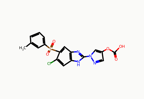 Cc1cccc(S(=O)(=O)c2cc3nc(-n4cc(OC(=O)O)cn4)[nH]c3cc2Cl)c1